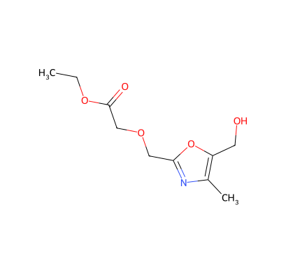 CCOC(=O)COCc1nc(C)c(CO)o1